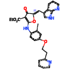 CCOC(=O)C1=C(Nc2ccc(OCCc3ccccn3)cc2C)O/C(=C\c2c[nH]c3ncccc23)C1=O